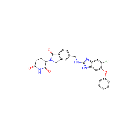 O=C1CCC(N2Cc3cc(CNc4nc5cc(Cl)c(Oc6ccccc6)cc5[nH]4)ccc3C2=O)C(=O)N1